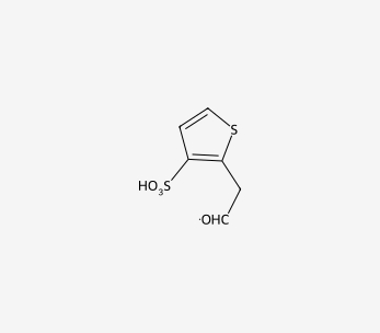 O=[C]Cc1sccc1S(=O)(=O)O